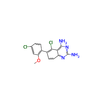 COc1cc(Cl)ccc1-c1ccc2nc(N)nc(N)c2c1Cl